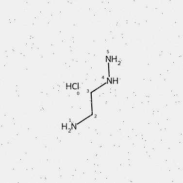 Cl.NCCNN